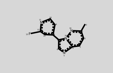 Cc1ccc2ncc(-c3ccnc(F)c3)n2n1